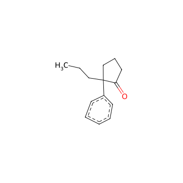 CCCC1(c2ccccc2)CCCC1=O